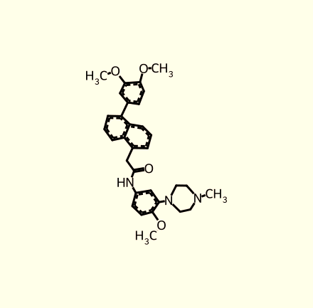 COc1ccc(-c2cccc3c(CC(=O)Nc4ccc(OC)c(N5CCN(C)CC5)c4)cccc23)cc1OC